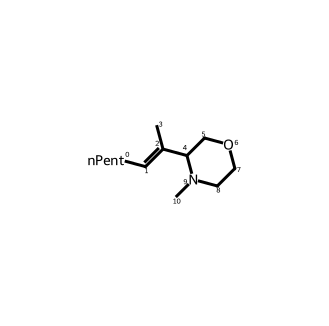 CCCCCC=C(C)C1COCCN1C